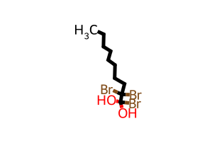 CCCCCCCCC(Br)(Br)C(O)(O)Br